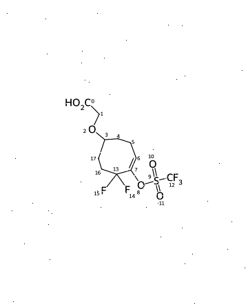 O=C(O)COC1CC/C=C(/OS(=O)(=O)C(F)(F)F)C(F)(F)CC1